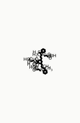 CNC(=O)C1(C(=O)NCCS(=O)(=O)O)CC(/C=C/C2=[N+](CCCS(=O)(=O)O)c3ccccc3C2(C)C)=CC(=C/C=C2/N(CCCS(=O)(=O)O)c3ccccc3C2(C)C)/C1